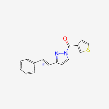 O=C(c1ccsc1)n1ccc(/C=C/c2ccccc2)n1